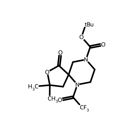 CC(C)(C)OC(=O)N1CCN(C(=O)C(F)(F)F)C2(C1)CC(C)(C)OC2=O